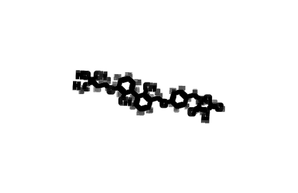 Cc1c(COc2ccc(Cn3oc(=O)[nH]c3=O)cc2)cccc1-c1cccc(OCCC(C)(C)O)c1C